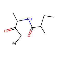 [2H]CC(=O)C(C)NC(=O)C(C)CC